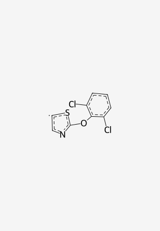 Clc1cccc(Cl)c1Oc1nc[c]s1